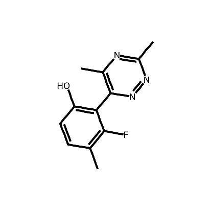 Cc1nnc(-c2c(O)ccc(C)c2F)c(C)n1